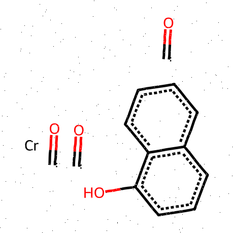 Oc1cccc2ccccc12.[C]=O.[C]=O.[C]=O.[Cr]